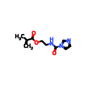 C=C(C)C(=O)OCCNC(=O)n1ccnc1